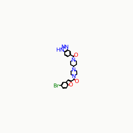 O=C(c1ccc2[nH]nnc2c1)N1CCC(N2CCN(C(=O)c3cc4cc(Br)ccc4o3)CC2)CC1